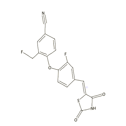 N#Cc1ccc(Oc2ccc(/C=C3\SC(=O)NC3=O)cc2F)c(CF)c1